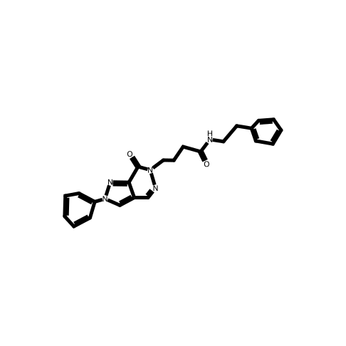 O=C(CCCn1ncc2cn(-c3ccccc3)nc2c1=O)NCCc1ccccc1